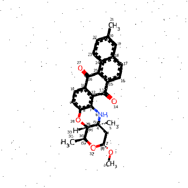 CO[C@H]1C[C@]2(C)Nc3c(ccc4c3C(=O)c3ccc5cc(C)ccc5c3C4=O)O[C@H]2[C@H](C)O1